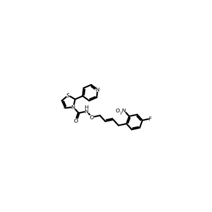 O=C(NOCC=CCc1ccc(F)cc1[N+](=O)[O-])N1[C]=CSC1c1ccncc1